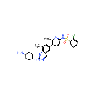 COc1nc(NS(=O)(=O)c2ccccc2Cl)ccc1-c1cc(C(F)(F)F)c2nc(N[C@H]3CC[C@H](N)CC3)ncc2c1